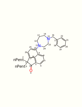 CCCCCC1(CCCCC)C(=O)c2cccc3c(N4CCCN(Cc5ccccc5)CC4)ccc1c23